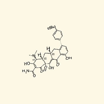 CN(C)[C@@H]1C(O)=C(C(N)=O)C(=O)C2(O)C(O)=C3C(=O)c4c(O)ccc(-c5ccc(C(C)(C)C)cc5)c4C[C@H]3C[C@@H]12